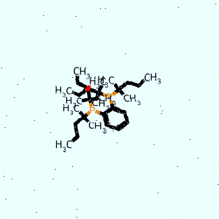 CCCC(C)(C)P(c1ccccc1P(C(C)(C)CCC)C(C)(C)CCC)C(C)(C)CCC